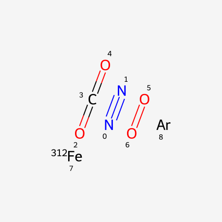 N#N.O=C=O.O=O.[312Fe].[Ar]